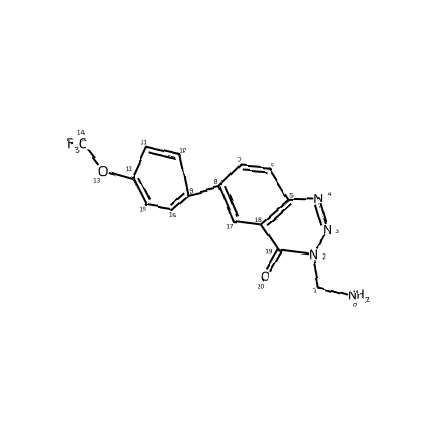 NCn1nnc2ccc(-c3ccc(OC(F)(F)F)cc3)cc2c1=O